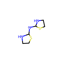 C1CSC([N]C2NCCS2)N1